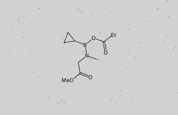 CCC(=O)OB(C1CC1)N(C)CC(=O)OC